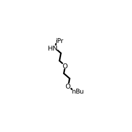 CCCCOCCOCCNC(C)C